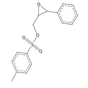 Cc1ccc(S(=O)(=O)OCC2OC2c2ccccc2)cc1